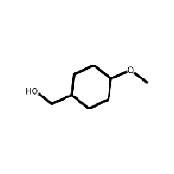 COC1CCC(CO)CC1